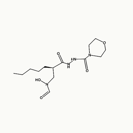 CCCCC[C@H](CN(O)C=O)C(=O)NNC(=O)N1CCOCC1